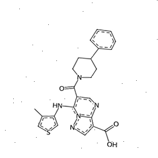 Cc1cscc1Nc1c(C(=O)N2CCC(c3ccccc3)CC2)cnc2c(C(=O)O)cnn12